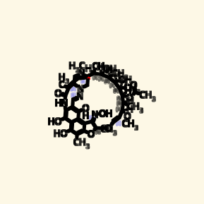 CO[C@H]1/C=C/O[C@@]2(C)Oc3c(C)c(O)c4c(O)c(c(/C=N/N5CCN(C)CC5)c(O)c4c3/C2=N/O)NC(=O)/C(C)=C\C=C\[C@H](C)[C@H](O)[C@@H](C)[C@@H](O)[C@@H](C)[C@H](OC(C)=O)[C@@H]1C